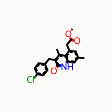 COC(=O)Cc1cc(C)cc2[nH]c(=O)c(Cc3ccc(Cl)cc3)c(C)c12